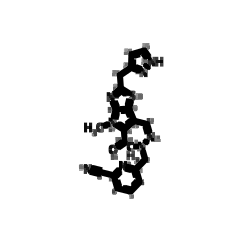 CN(Cc1cccc(C#N)n1)/N=C\c1c(C=O)n(C)c2nc(Cc3cc[nH]n3)sc12